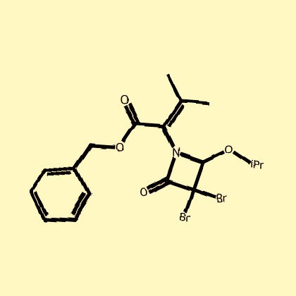 CC(C)=C(C(=O)OCc1ccccc1)N1C(=O)C(Br)(Br)C1OC(C)C